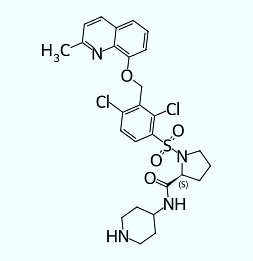 Cc1ccc2cccc(OCc3c(Cl)ccc(S(=O)(=O)N4CCC[C@H]4C(=O)NC4CCNCC4)c3Cl)c2n1